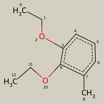 CCOc1cccc(C)c1OCC